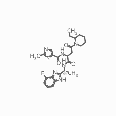 CCC1CCCCN1C(=O)CC(NC(=O)c1cnc(C)s1)C(=O)N[C@@H](C)c1nc2c(F)cccc2[nH]1